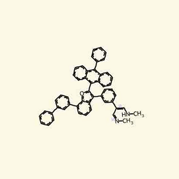 C/N=C\C(=C/NC)c1cccc(-c2c(-c3c4ccccc4c(-c4ccccc4)c4ccccc34)oc3c(-c4cccc(-c5ccccc5)c4)cccc23)c1